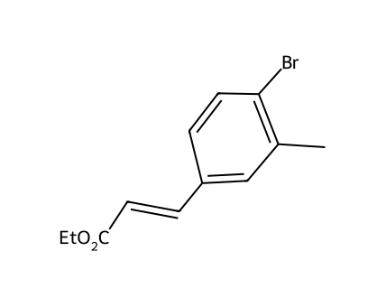 CCOC(=O)C=Cc1ccc(Br)c(C)c1